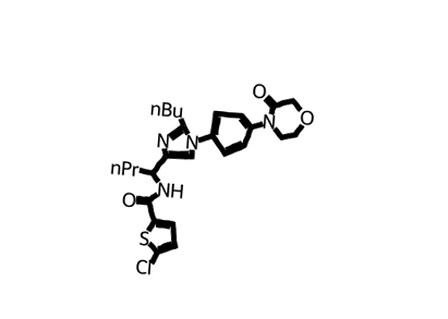 CCCCc1nc(C(CCC)NC(=O)c2ccc(Cl)s2)cn1-c1ccc(N2CCOCC2=O)cc1